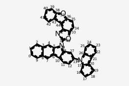 c1ccc2cc3c(cc2c1)c1ccc(-n2c4ccccc4c4ccccc42)cc1n3-c1nc2c(ccc3oc4ccccc4c32)o1